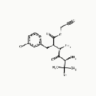 CN(C(=O)[C@@H](N)C(C)(C)S)[C@@H](Cc1cccc(Cl)c1)C(=O)OCC#N